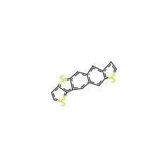 c1cc2cc3cc4sc5ccsc5c4cc3cc2s1